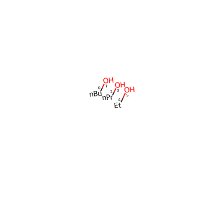 CCCCO.CCCO.CCO